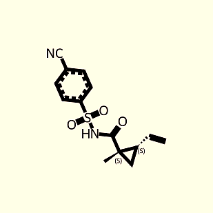 C=C[C@@H]1C[C@]1(C)C(=O)NS(=O)(=O)c1ccc(C#N)cc1